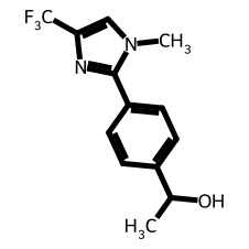 CC(O)c1ccc(-c2nc(C(F)(F)F)cn2C)cc1